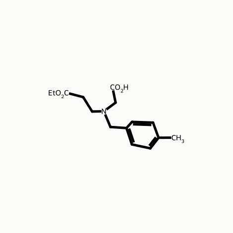 CCOC(=O)CCN(CC(=O)O)Cc1ccc(C)cc1